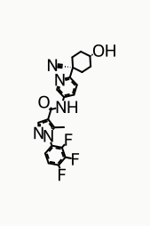 Cc1c(C(=O)Nc2ccc([C@]3(C#N)CC[C@@H](O)CC3)nc2)cnn1-c1ccc(F)c(F)c1F